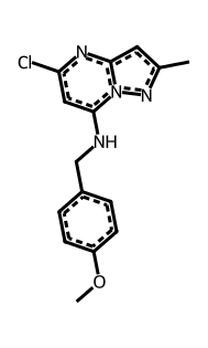 COc1ccc(CNc2cc(Cl)nc3cc(C)nn23)cc1